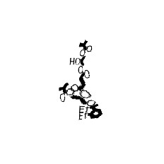 C=C(C)C(=O)OCC(O)COC(=O)/C=C/C(=O)OC(COC(=O)C(=C)C)COC(C)(CC)c1ccccc1CC